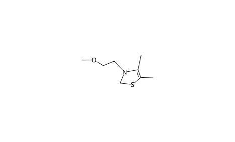 COCCN1[CH]SC(C)=C1C